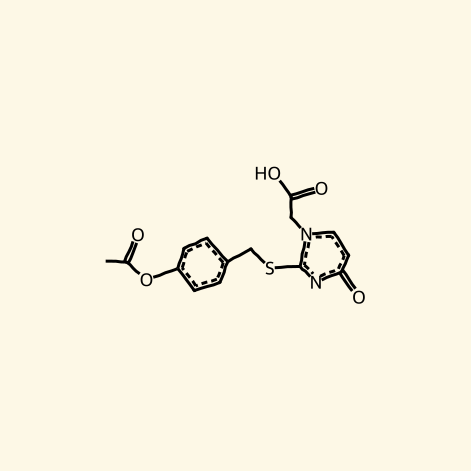 CC(=O)Oc1ccc(CSc2nc(=O)ccn2CC(=O)O)cc1